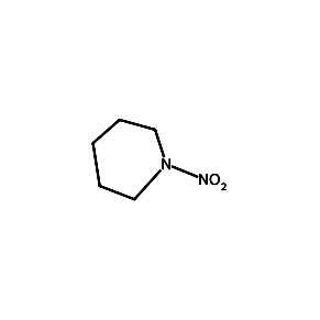 O=[N+]([O-])N1CCCCC1